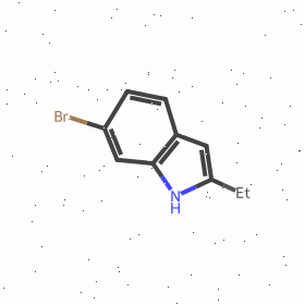 [CH2]Cc1cc2ccc(Br)cc2[nH]1